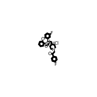 Cl.O=C(CN1CCC(CN2c3cc(F)ccc3Oc3ccccc3S2(=O)=O)CC1)c1ccc(F)cc1